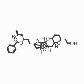 C=C(Br)C[C@@H](CC[C@@]12C[C@H]3O[C@H]4C(O1)[C@H]1O[C@@H](CCO)CCC1O[C@H]4[C@H]3O2)OC(=O)c1ccccc1